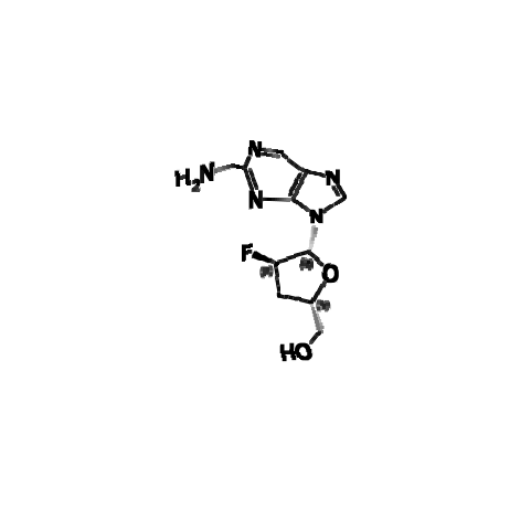 Nc1ncc2ncn([C@@H]3O[C@H](CO)C[C@H]3F)c2n1